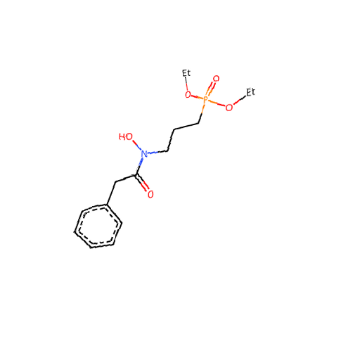 CCOP(=O)(CCCN(O)C(=O)Cc1ccccc1)OCC